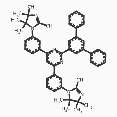 CC1=NC(C)(C)C(C)(C)N1c1cccc(-c2cc(-c3cccc(N4C(C)=NC(C)(C)C4(C)C)c3)nc(-c3cc(-c4ccccc4)cc(-c4ccccc4)c3)n2)c1